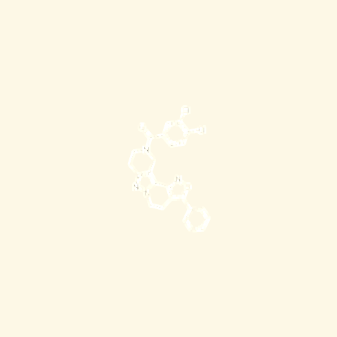 O=C(c1ccc(Cl)c(Cl)c1)N1CCc2nn3c(c2C1)-c1noc(-c2ccccc2)c1CC3